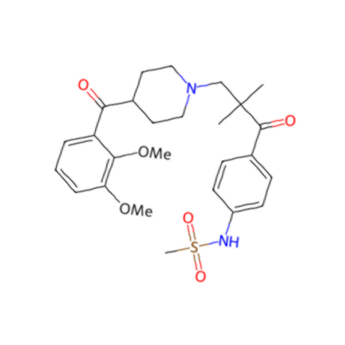 COc1cccc(C(=O)C2CCN(CC(C)(C)C(=O)c3ccc(NS(C)(=O)=O)cc3)CC2)c1OC